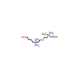 CCCCC[N+](C)(C)CCOCC[N+](C)(C)CCCCO